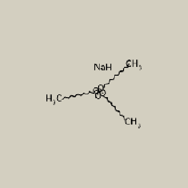 CCCCCCCCCCCCOP(=O)(OCCCCCCCCCCCC)OCCCCCCCCCCCC.[NaH]